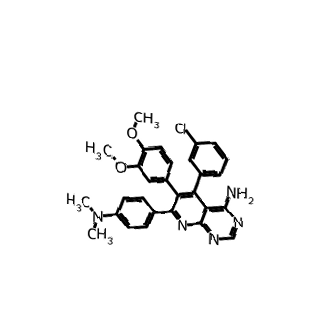 COc1ccc(-c2c(-c3ccc(N(C)C)cc3)nc3ncnc(N)c3c2-c2cccc(Cl)c2)cc1OC